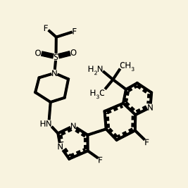 CC(C)(N)c1ccnc2c(F)cc(-c3nc(NC4CCN(S(=O)(=O)C(F)F)CC4)ncc3F)cc12